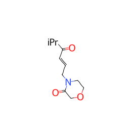 CC(C)C(=O)/C=C/CN1CCOCC1=O